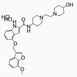 COc1cccc2c(COc3cccc4[nH]c(C(=O)NC5CCN(CCN6CCC(O)CC6)CC5)cc34)coc12.Cl.Cl